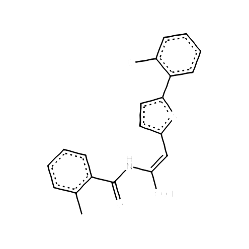 Cc1ccccc1C(=O)N/C(=C\c1ccc(-c2ccccc2Cl)s1)C(=O)O